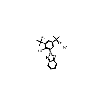 CCC(C)(C)c1cc(-n2nc3ccccc3n2)c(O)c(C(C)(C)CC)c1.[H+]